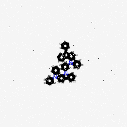 c1ccc(C2c3ccccc3-c3c2ccc2c4ccccc4n(-c4cccc(-n5c6ccccc6c6ccc7c(c8ccccc8n7-c7ccccc7)c65)c4)c32)cc1